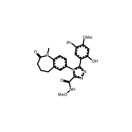 CONC(=O)c1nnc(-c2cc(C(C)C)c(OC)cc2O)n1-c1ccc2c(c1)CCCC(=O)N2C